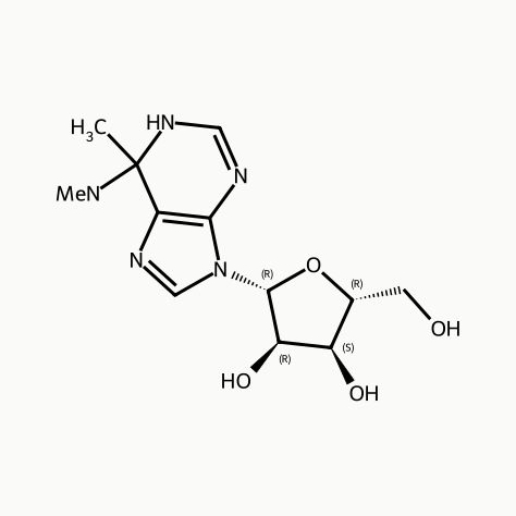 CNC1(C)NC=Nc2c1ncn2[C@@H]1O[C@H](CO)[C@@H](O)[C@H]1O